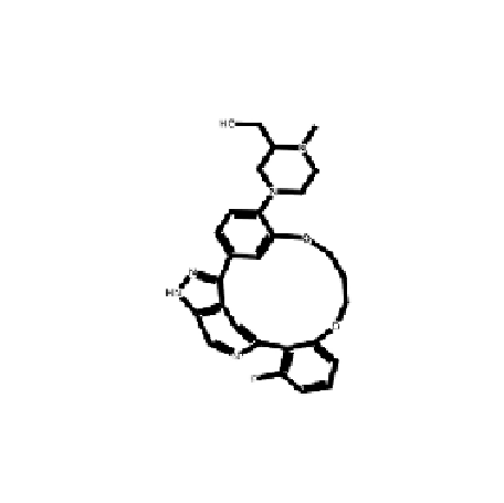 CN1CCN(c2ccc3cc2OCCCOc2cccc(F)c2-c2cc4c-3n[nH]c4cn2)CC1CO